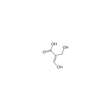 O=C(O)/C(=C/O)CO